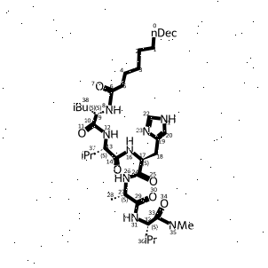 CCCCCCCCCCCCCCCC(=O)N[C@H](C(=O)N[C@H](C(=O)N[C@@H](Cc1c[nH]cn1)C(=O)N[C@@H](C)C(=O)N[C@H](C(=O)NC)C(C)C)C(C)C)[C@@H](C)CC